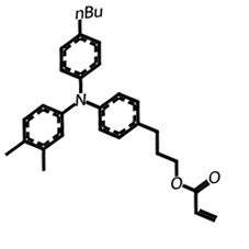 C=CC(=O)OCCCc1ccc(N(c2ccc(CCCC)cc2)c2ccc(C)c(C)c2)cc1